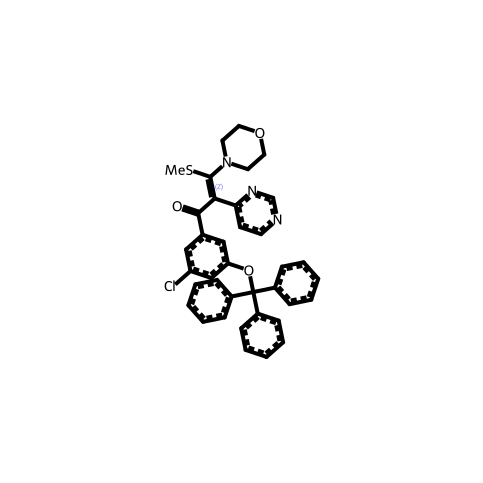 CS/C(=C(\C(=O)c1cc(Cl)cc(OC(c2ccccc2)(c2ccccc2)c2ccccc2)c1)c1ccncn1)N1CCOCC1